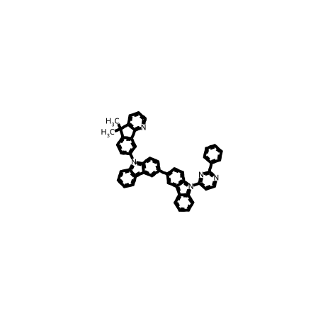 CC1(C)c2ccc(-n3c4ccccc4c4cc(-c5ccc6c(c5)c5ccccc5n6-c5ccnc(-c6ccccc6)n5)ccc43)cc2-c2ncccc21